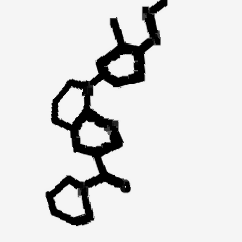 C/N=N/c1ccc(N2CCCc3cc(C(=O)N4CCCCC4)cnc32)cc1C